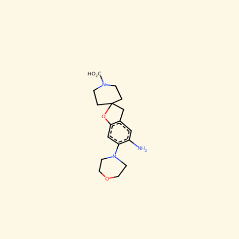 Nc1cc2c(cc1N1CCOCC1)OC1(CCN(C(=O)O)CC1)C2